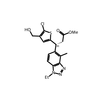 CCn1nnc2c(C)c([C@@H](CC(=O)OC)c3cc(CO)c(Cl)s3)ccc21